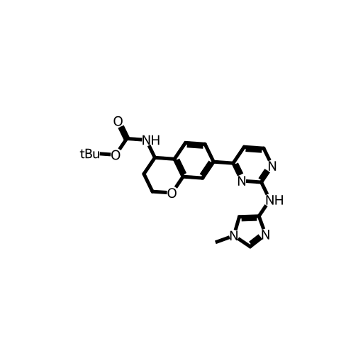 Cn1cnc(Nc2nccc(-c3ccc4c(c3)OCCC4NC(=O)OC(C)(C)C)n2)c1